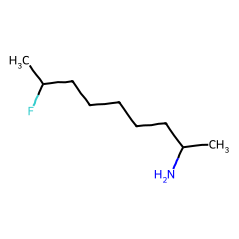 CC(N)CCCCCC(C)F